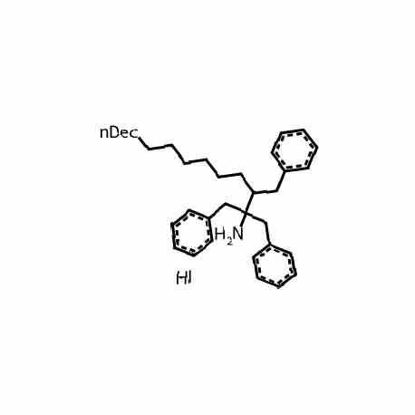 CCCCCCCCCCCCCCCCC(Cc1ccccc1)C(N)(Cc1ccccc1)Cc1ccccc1.I